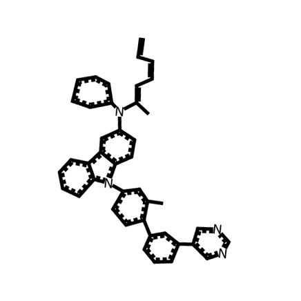 C=C/C=C\C=C(/C)N(c1ccccc1)c1ccc2c(c1)c1ccccc1n2-c1ccc(-c2cccc(-c3cncnc3)c2)c(C)c1